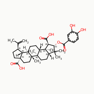 C=C(C)[C@@H]1CC[C@]2(C(=O)O)CC[C@]3(C)[C@H](CC[C@@H]4[C@@]5(C)[C@@H](C(=O)O)[C@H](OC(=O)c6ccc(O)c(O)c6)C(C)(C)[C@@H]5CC[C@]43C)[C@@H]12